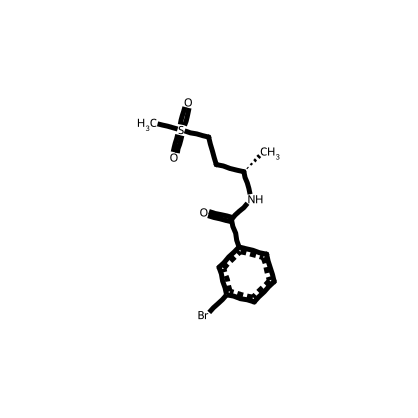 C[C@@H](CCS(C)(=O)=O)NC(=O)c1cccc(Br)c1